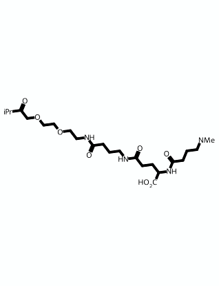 CNCCCC(=O)NC(CCC(=O)NCCCC(=O)NCCOCCOCC(=O)C(C)C)C(=O)O